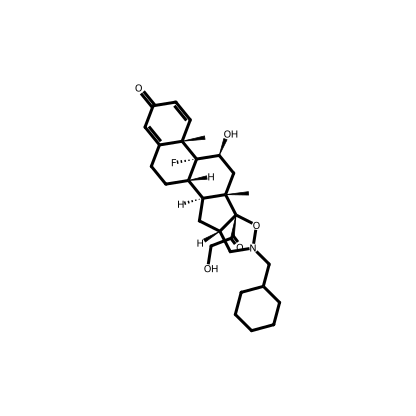 C[C@]12C=CC(=O)C=C1CC[C@H]1[C@@H]3C[C@H]4CN(CC5CCCCC5)O[C@@]4(C(=O)CO)[C@@]3(C)C[C@H](O)[C@@]12F